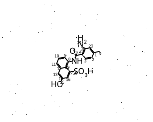 Cc1ccc(C(=O)Nc2cccc3cc(O)cc(S(=O)(=O)O)c23)c(N)c1